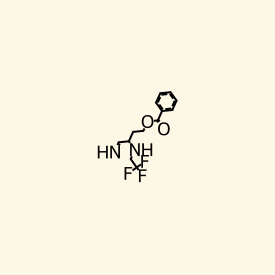 N=CC(CCOC(=O)c1ccccc1)NCC(F)(F)F